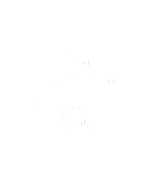 O=C(O)CC(O)(CC(=O)O)C(=O)O.O=[PH](O)c1ccccc1.[Cu].[Cu]